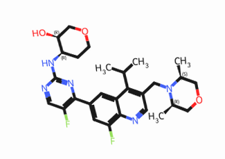 CC(C)c1c(CN2[C@H](C)COC[C@@H]2C)cnc2c(F)cc(-c3nc(N[C@@H]4CCOC[C@@H]4O)ncc3F)cc12